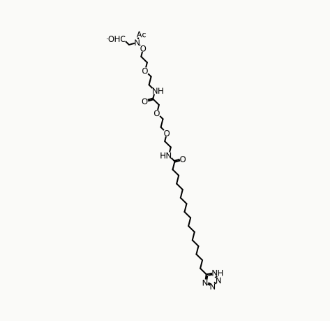 CC(=O)N(C[C]=O)OCCOCCNC(=O)COCCOCCNC(=O)CCCCCCCCCCCCCCCc1nnn[nH]1